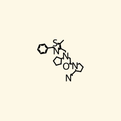 Cc1sc(-c2ccccc2)nc1CN(CC(=O)N1CCCC1C#N)C1CCCC1